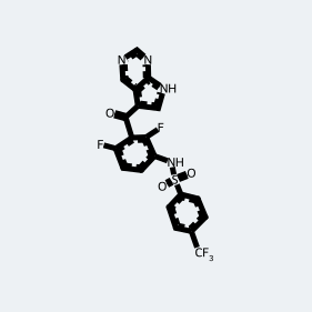 O=C(c1c(F)ccc(NS(=O)(=O)c2ccc(C(F)(F)F)cc2)c1F)c1c[nH]c2ncncc12